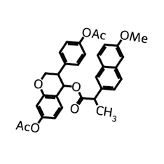 COc1ccc2cc(C(C)C(=O)OC3c4ccc(OC(C)=O)cc4OCC3c3ccc(OC(C)=O)cc3)ccc2c1